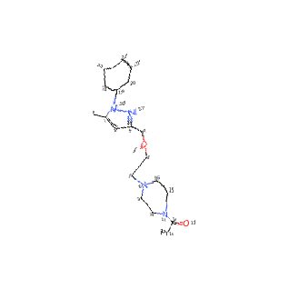 Cc1cc(COCCN2CCN(C(=O)C(C)C)CC2)nn1C1CCCCC1